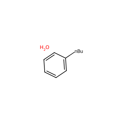 CCCCc1ccccc1.O